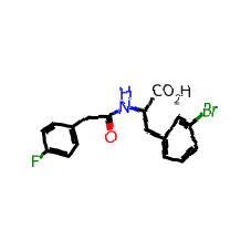 O=C(Cc1ccc(F)cc1)NC(Cc1cccc(Br)c1)C(=O)O